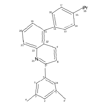 Cc1cc(C)cc(-c2ccc3c(-c4ccc(C(C)C)cc4)cccc3n2)c1